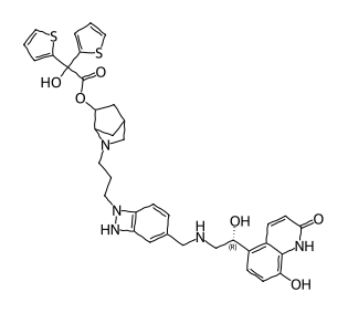 O=C(OC1CC2CC1N(CCCn1[nH]c3cc(CNC[C@H](O)c4ccc(O)c5[nH]c(=O)ccc45)ccc31)C2)C(O)(c1cccs1)c1cccs1